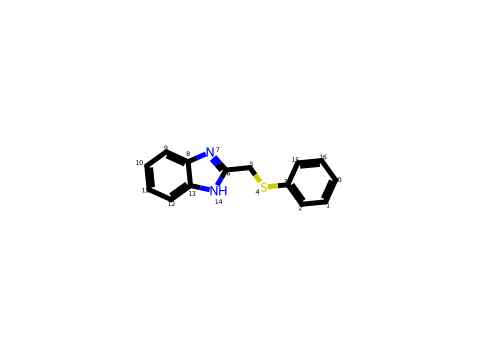 c1ccc(SCc2nc3ccccc3[nH]2)cc1